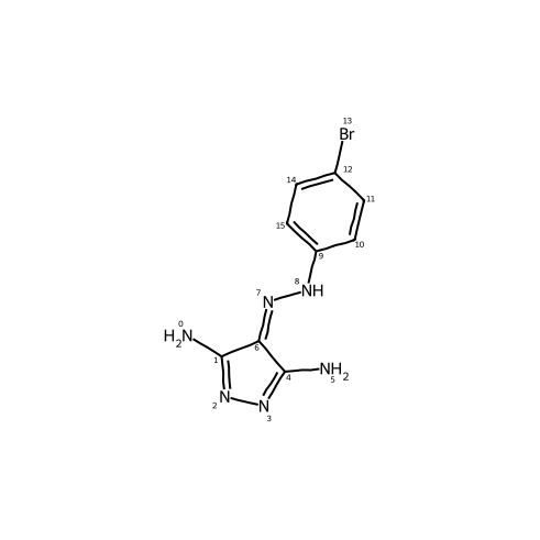 NC1=NN=C(N)C1=NNc1ccc(Br)cc1